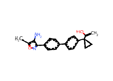 C=C(O)C1(c2ccc(-c3ccc(-c4noc(C)c4N)cc3)cc2)CC1